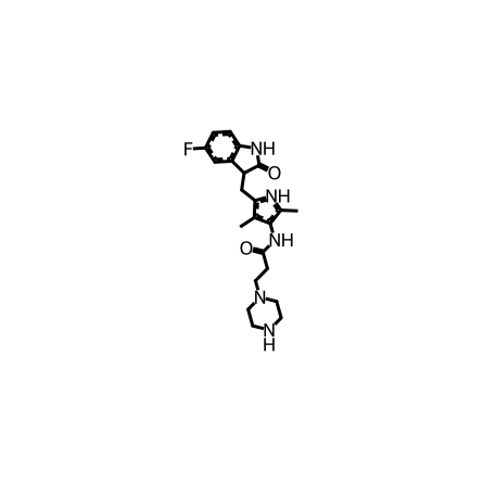 Cc1[nH]c(CC2C(=O)Nc3ccc(F)cc32)c(C)c1NC(=O)CCN1CCNCC1